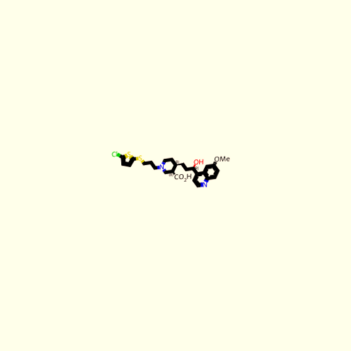 COc1ccc2nccc([C@H](O)CC[C@@H]3CCN(CCCSc4ccc(Cl)s4)C[C@@H]3C(=O)O)c2c1